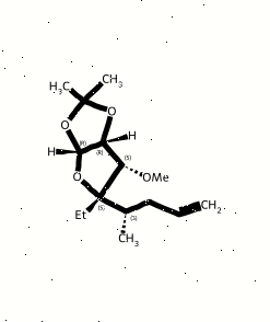 C=CC[C@H](C)[C@]1(CC)O[C@@H]2OC(C)(C)O[C@@H]2[C@@H]1OC